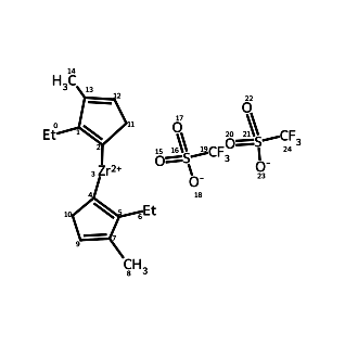 CCC1=[C]([Zr+2][C]2=C(CC)C(C)=CC2)CC=C1C.O=S(=O)([O-])C(F)(F)F.O=S(=O)([O-])C(F)(F)F